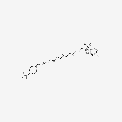 Cc1ccc(S(=O)(=O)[SH](S)CCCOCCOCCOCCOCCN2CCC(NC(C)C)CC2)cc1